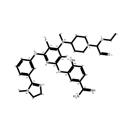 CCOC(C=O)N1CCC(N(C)c2c(F)c(Oc3cccc(C4=NCCN4C)c3)nc(Oc3cc(C(=N)N)ccc3O)c2F)CC1